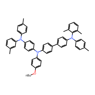 CCCCOc1ccc(N(c2ccc(-c3ccc(N(c4ccc(C)cc4)c4c(C)cccc4C)cc3)cc2)c2ccc(N(c3ccc(C)cc3)c3cccc(C)c3)cc2)cc1